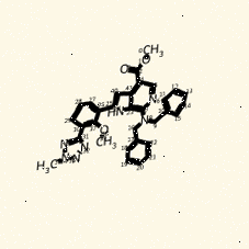 COC(=O)c1cnc(N(Cc2ccccc2)Cc2ccccc2)c2[nH]c(-c3cccc(-c4nnn(C)n4)c3OC)cc12